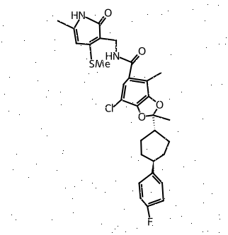 CSc1cc(C)[nH]c(=O)c1CNC(=O)c1cc(Cl)c2c(c1C)OC(C)([C@H]1CC[C@H](c3ccc(F)cc3)CC1)O2